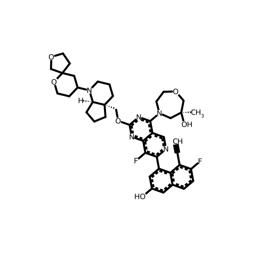 C#Cc1c(F)ccc2cc(O)cc(-c3ncc4c(N5CCOC[C@@](C)(O)C5)nc(OC[C@]56CCC[C@H]5N(C5CCOC7(CCOC7)C5)CCC6)nc4c3F)c12